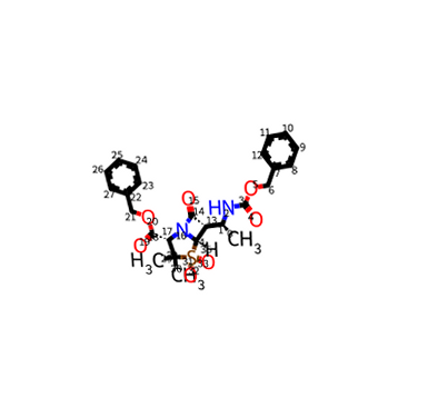 C[C@H](NC(=O)OCc1ccccc1)[C@H]1C(=O)N2[C@@H](C(=O)OCc3ccccc3)C(C)(C)S(=O)(=O)[C@H]12